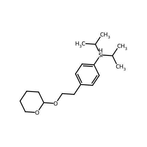 CC(C)[SiH](c1ccc(CCOC2CCCCO2)cc1)C(C)C